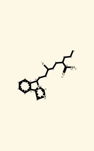 CCCC(CCC(F)CCC1c2ccccc2-c2cncn21)C(N)=O